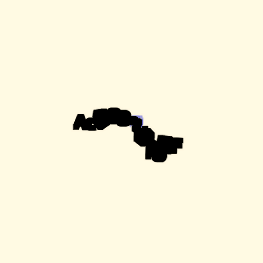 CC(=O)c1ccc(OCOC/C=C\CN2CCC(c3noc4cc(F)ccc34)CC2)cc1